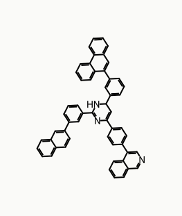 C1=C(c2ccc(-c3cncc4ccccc34)cc2)N=C(c2cccc(-c3ccc4ccccc4c3)c2)NC1c1cccc(-c2cc3ccccc3c3ccccc23)c1